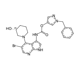 O=C(Nc1c[nH]c2ncc(Br)c(N3CCC[C@@H](O)C3)c12)Oc1cnn(Cc2ccccc2)c1